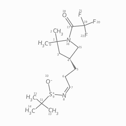 CC1(C)C[C@H](CC/C=N\[S+]([O-])C(C)(C)C)CN1C(=O)C(F)(F)F